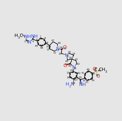 CN/C=N\C(=N)c1ccc(C2=CCN(C(=O)CN3CC[C@]4(CCN(c5ccc(N)c(C(=N)c6ccc(S(C)(=O)=O)cc6)c5)C4=O)C3)CC2)cc1